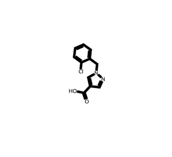 O=C(O)c1cnn(Cc2ccccc2Cl)c1